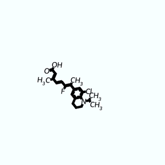 CC(C=CC(F)=C(C)c1cc(Cl)c2c(c1)CCCN2C(C)C)=CC(=O)O